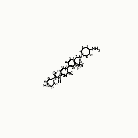 NC1CCCN(CCc2ccc(-n3ccc(NC(=O)N4CCNCC4)nc3=O)cc2C(F)(F)F)CC1